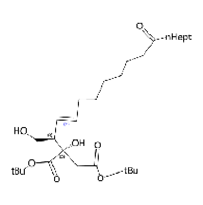 CCCCCCCC(=O)CCCCCC/C=C/[C@H](CO)[C@@](O)(CC(=O)OC(C)(C)C)C(=O)OC(C)(C)C